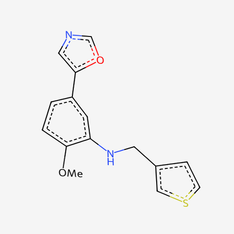 COc1ccc(-c2cnco2)cc1NCc1ccsc1